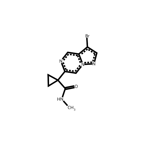 CNC(=O)C1(c2cn3ncc(Br)c3cn2)CC1